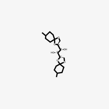 CC1CCC2(CC1)OC[C@@H]([C@H](O)[C@@H](O)[C@@H]1COC3(CCC(C)CC3)O1)O2